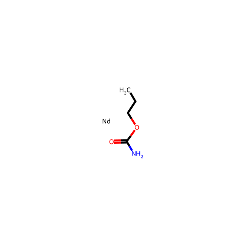 CCCOC(N)=O.[Nd]